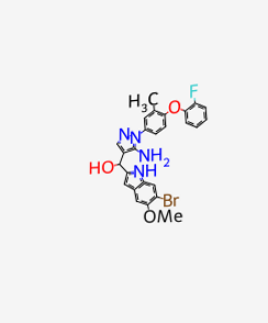 COc1cc2cc(C(O)c3cnn(-c4ccc(Oc5ccccc5F)c(C)c4)c3N)[nH]c2cc1Br